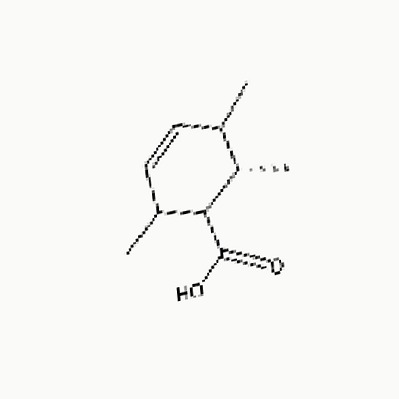 CC1C=CC(C)[C@H](C)C1C(=O)O